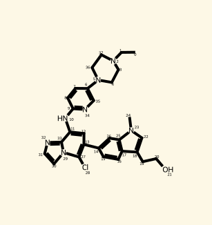 CCN1CCN(c2ccc(Nc3cc(-c4ccc5c(CCO)cn(C)c5c4)c(Cl)n4ccnc34)nc2)CC1